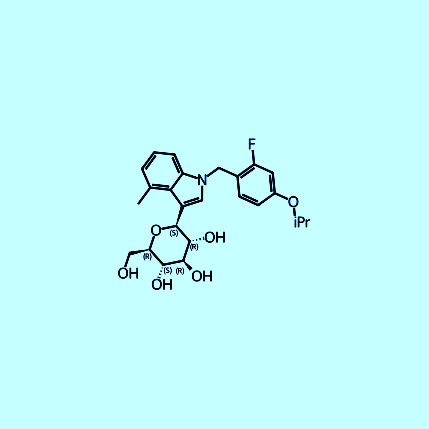 Cc1cccc2c1c([C@@H]1O[C@H](CO)[C@@H](O)[C@H](O)[C@H]1O)cn2Cc1ccc(OC(C)C)cc1F